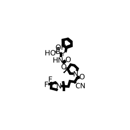 CC(C)(CCC(C#N)C(=O)N1CCC[C@@](C)(OC(=O)N[C@@H](Cc2ccccc2)B(O)O)C1)N1CCC(F)(F)C1